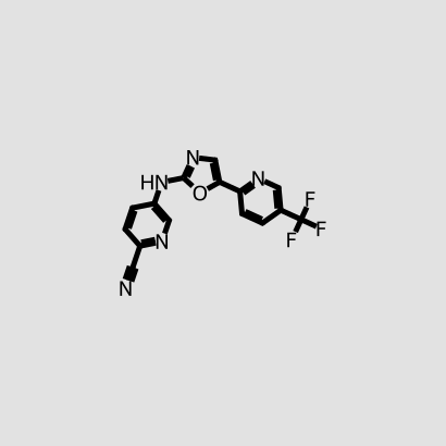 N#Cc1ccc(Nc2ncc(-c3ccc(C(F)(F)F)cn3)o2)cn1